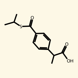 CC(C)SC(=O)c1ccc(C(C)C(=O)O)cc1